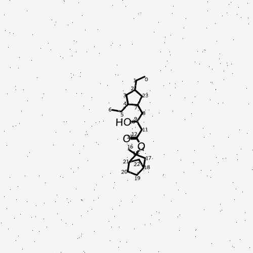 CCC1CC(CC)C(CC(O)CC(=O)OC2(C)CC3CCC2C3)C1